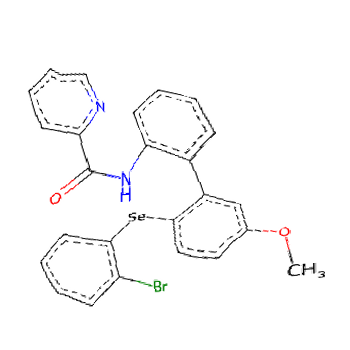 COc1ccc([Se]c2ccccc2Br)c(-c2ccccc2NC(=O)c2ccccn2)c1